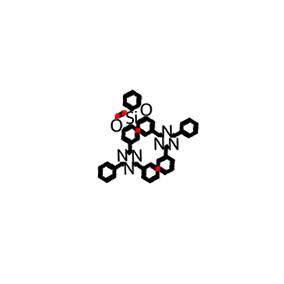 c1ccc(-c2nc(-c3ccccc3)nc(-c3ccc4c(c3)Oc3ccccc3[Si]43c4ccccc4Oc4cc(-c5nc(-c6ccccc6)nc(-c6ccccc6)n5)ccc43)n2)cc1